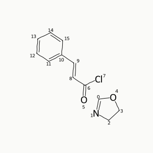 C1=NCCO1.O=C(Cl)C=Cc1ccccc1